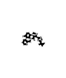 C[C@@H]1c2c(-c3noc(C4(C)CC4)n3)ncn2-c2ccc(F)cc2N1Cc1ccccn1